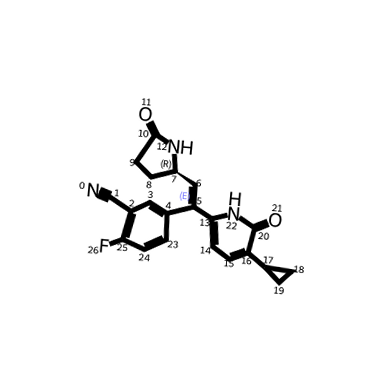 N#Cc1cc(/C(=C\[C@H]2CCC(=O)N2)c2ccc(C3CC3)c(=O)[nH]2)ccc1F